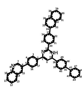 C1=C(c2ccc(-c3cnc4ccccc4c3)cc2)N=C(c2ccc(-c3ccc4ccccc4c3)cc2)NC1c1ccc(-c2ccccc2)cc1